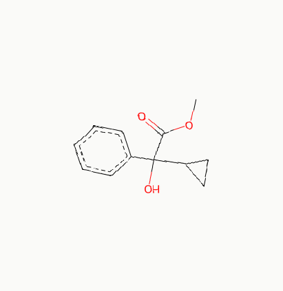 COC(=O)C(O)(c1ccccc1)C1CC1